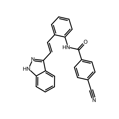 N#Cc1ccc(C(=O)Nc2ccccc2C=Cc2n[nH]c3ccccc23)cc1